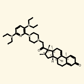 CCN(CC)c1ccc(N(CC)CC)c(N2CCN(CC(=O)[C@@]3(C)[C@H](C)C[C@H]4[C@@H]5CCC6=CC(=O)C=C[C@]6(C)C5=CC[C@@]43C)CC2)n1